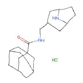 Cl.O=C(NCC1CC2CCC(C1)N2)C12CC3CC(CC(C3)C1)C2